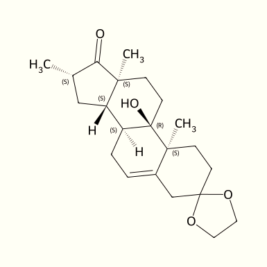 C[C@H]1C[C@H]2[C@@H]3CC=C4CC5(CC[C@]4(C)[C@@]3(O)CC[C@]2(C)C1=O)OCCO5